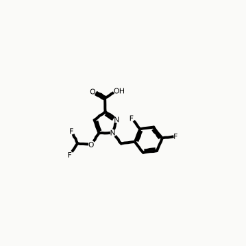 O=C(O)c1cc(OC(F)F)n(Cc2ccc(F)cc2F)n1